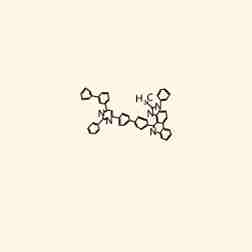 CCc1nc2c3c(-c4ccc(-c5ccc(-c6cc(-c7cccc(-c8ccccc8)c7)nc(-c7ccccc7)n6)cc5)cc4)nc4ccccc4c3ccc2n1-c1ccccc1